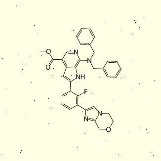 COC(=O)c1cnc(N(Cc2ccccc2)Cc2ccccc2)c2[nH]c(-c3cccc(-c4cn5c(n4)COCC5)c3F)cc12